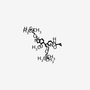 COc1c(-c2cn(COCC[Si](C)(C)C)c3nc(NC(=O)C4CC4)ccc23)ccc2c1cnn2COCC[Si](C)(C)C